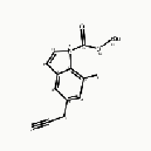 C#CCc1cc(C)c2c(ccn2C(=O)OC(C)(C)C)c1